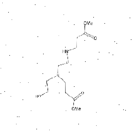 COC(=O)CCNCCN(CCO)CCC(=O)OC